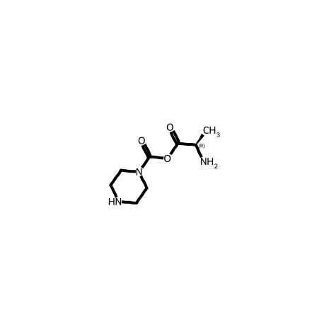 C[C@@H](N)C(=O)OC(=O)N1CCNCC1